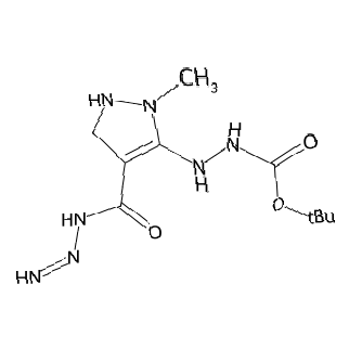 CN1NCC(C(=O)NN=N)=C1NNC(=O)OC(C)(C)C